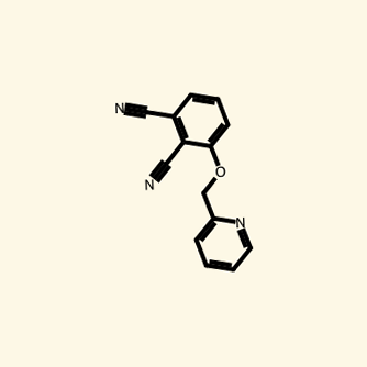 N#Cc1cccc(OCc2ccccn2)c1C#N